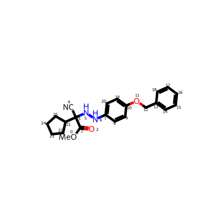 COC(=O)C(C#N)(NNc1ccc(OCc2ccccc2)cc1)C1CCCC1